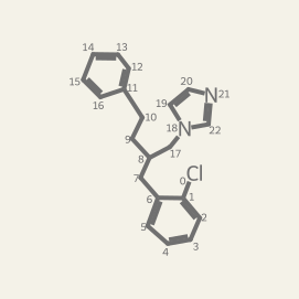 Clc1ccccc1CC(CCc1ccccc1)Cn1ccnc1